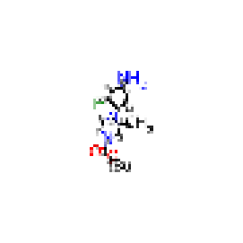 CC1CN(C(=O)OC(C)(C)C)CCN1c1ccc(N)cc1F